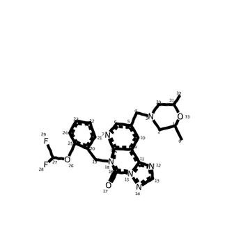 CC1CN(Cc2cnc3c(c2)c2ncnn2c(=O)n3Cc2ccccc2OC(F)F)CC(C)O1